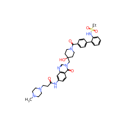 CCS(=O)(=O)Nc1ccccc1-c1ccc(C(=O)N2CCC(O)(Cn3cnc4cc(NC(=O)CCN5CCN(C)CC5)ccc4c3=O)CC2)cc1